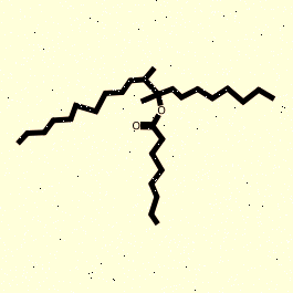 CCCCCCCCCCC(C)C(C)(CCCCCCCC)OC(=O)CCCCCCC